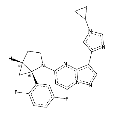 Fc1ccc(F)c([C@@]23C[C@@H]2CCN3c2ccn3ncc(-c4cn(C5CC5)cn4)c3n2)c1